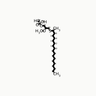 CCCCCCCCCCCCCCCCCC(C)SCC(COP(=O)(O)O)OC